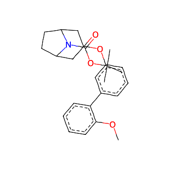 COc1ccccc1-c1cccc(OC2CC3CCC(C2)N3C(=O)OC(C)(C)C)c1